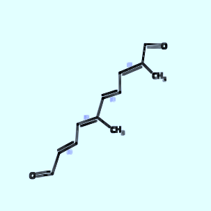 C\C(C=O)=C/C=C/C(C)=C/C=C/C=O